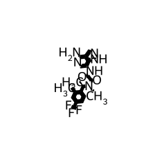 CCN(C(=O)C(=O)Nc1cnc(N)c2cn[nH]c12)[C@H](C)c1ccc(C(F)(F)F)cc1C